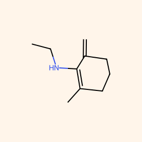 C=C1CCCC(C)=C1NCC